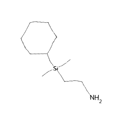 C[Si](C)(CCN)C1CCCCC1